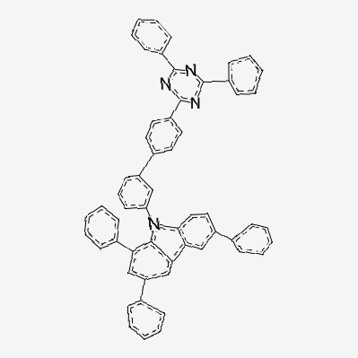 c1ccc(-c2ccc3c(c2)c2cc(-c4ccccc4)cc(-c4ccccc4)c2n3-c2cccc(-c3ccc(-c4nc(-c5ccccc5)nc(-c5ccccc5)n4)cc3)c2)cc1